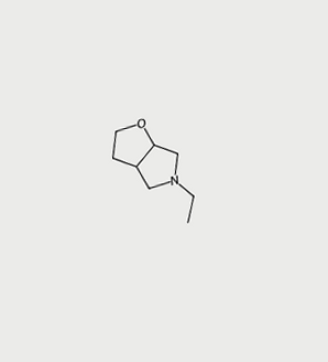 CCN1CC2CCOC2C1